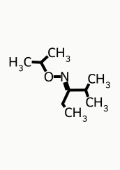 CC/C(=N\OC(C)C)C(C)C